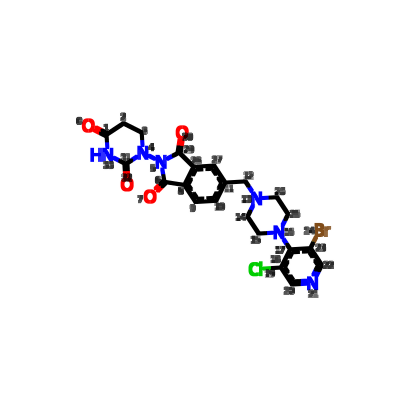 O=C1CCN(N2C(=O)c3ccc(CN4CCN(c5c(Cl)cncc5Br)CC4)cc3C2=O)C(=O)N1